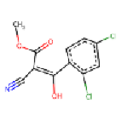 COC(=O)C(C#N)=C(O)c1ccc(Cl)cc1Cl